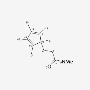 CNC(=O)CCC1(C)C(C)=C(C)C(C)=C1C